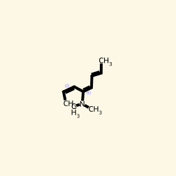 CC=C/C=C(\C=C/C)N(C)C